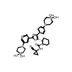 N#CC1(NC(=O)[C@@H]2CCCC[C@H]2c2oc(-c3cncc(N4CCS(O)(O)CC4)c3)nc2-c2ccc(N3CCS(O)(O)CC3)cc2)CC1